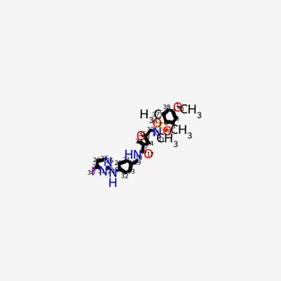 COc1cc(C)c(S(=O)(=O)N(C)Cc2cc(C(=O)NCc3ccc(Nc4nccc(I)n4)cc3)co2)c(C)c1